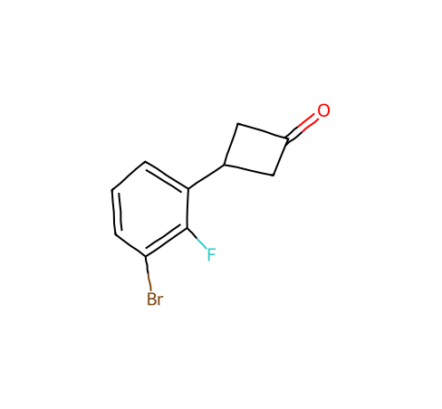 O=C1CC(c2cccc(Br)c2F)C1